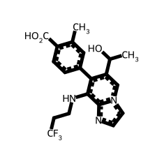 Cc1cc(-c2c(C(C)O)cn3ccnc3c2NCCC(F)(F)F)ccc1C(=O)O